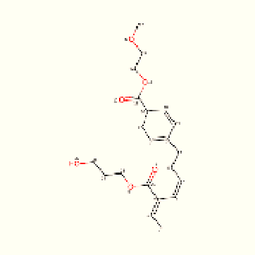 C/C=C(\C=C/CCC1=CCC(C(=O)OCCOC)C=C1)C(=O)OCCCO